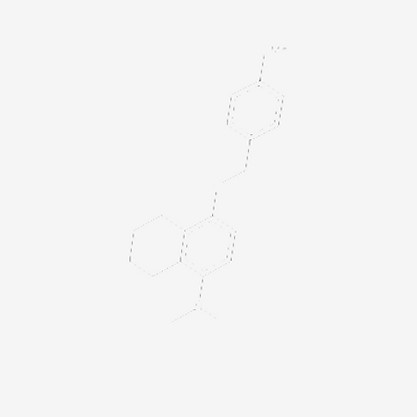 COc1ccc(COc2ccc(N(C)C(=O)O)c3c2CCCC3)cc1